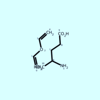 C=COC=C.NC(CCC(=O)O)C(=O)O